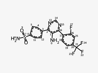 Nc1c(-c2ccc(S(N)(=O)=O)cc2)ncnc1-c1ccc(C(F)(F)F)cc1F